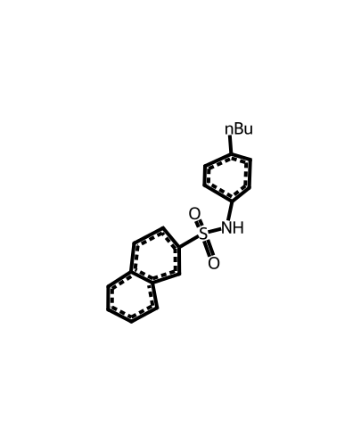 CCCCc1ccc(NS(=O)(=O)c2ccc3ccccc3c2)cc1